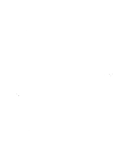 COc1ccc(/C=C/c2c(/C=C/c3ccc(C)cc3)[nH]c3ccccc23)cc1